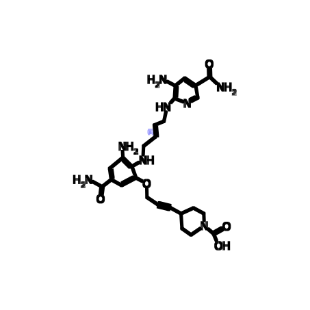 NC(=O)c1cnc(NC/C=C/CNc2c(N)cc(C(N)=O)cc2OCC#CC2CCN(C(=O)O)CC2)c(N)c1